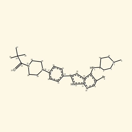 CN1CCC(Nc2c(Br)cnc3[nH]c(-c4ccc(N5CCN(C(=O)C(C)(C)C)CC5)cc4)nc23)CC1